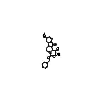 COc1ccc2[nH]c3c(c2c1)CCN(C(=O)OCc1ccccc1)C3C(=O)O